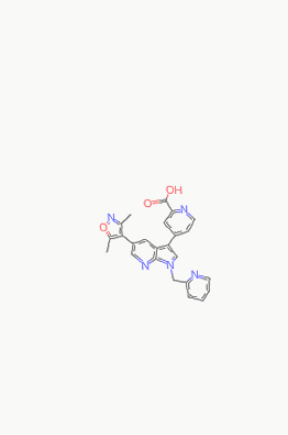 Cc1noc(C)c1-c1cnc2c(c1)c(-c1ccnc(C(=O)O)c1)cn2Cc1ccccn1